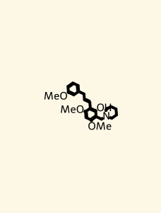 COc1cccc(C/C=C/c2c(OC)cc(OC)c(CN3CCCCC3)c2O)c1